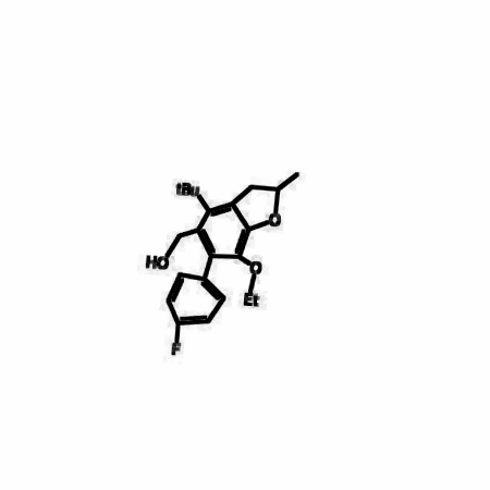 CCOc1c2c(c(C(C)(C)C)c(CO)c1-c1ccc(F)cc1)CC(C)O2